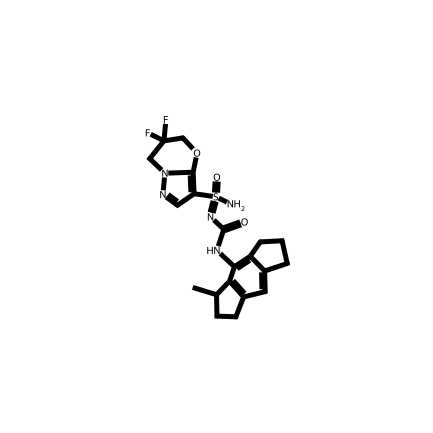 CC1CCc2cc3c(c(NC(=O)N=S(N)(=O)c4cnn5c4OCC(F)(F)C5)c21)CCC3